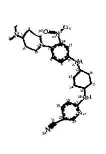 CN(C)C1CCN(c2ccc(NC3CCC(Nc4ccc(C#N)cn4)CC3)cc2[N+](=O)[O-])CC1